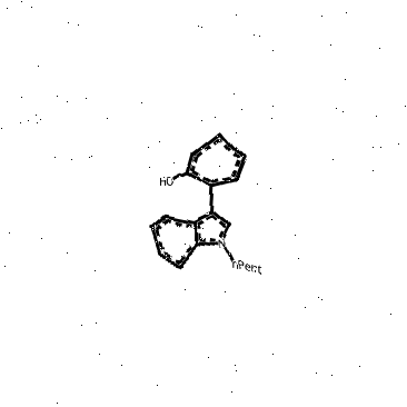 CCCCCn1cc(-c2ccccc2O)c2ccccc21